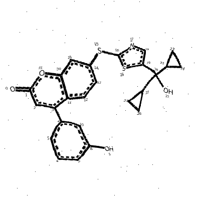 O=c1cc(-c2cccc(O)c2)c2ccc(Sc3ncc(C(O)(C4CC4)C4CC4)s3)cc2o1